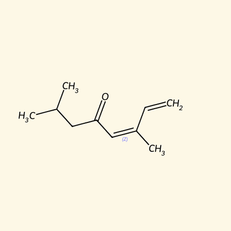 C=C/C(C)=C\C(=O)CC(C)C